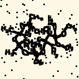 CO[Si](OC)(OC)C(C)[Si](C)(C)O[Si](C)(C)O[Si](C)(C)O[Si](C)(C)O[SiH](C)C